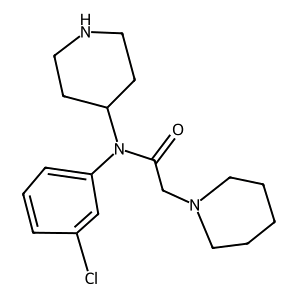 O=C(CN1CCCCC1)N(c1cccc(Cl)c1)C1CCNCC1